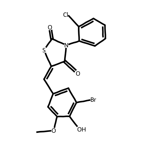 COc1cc(/C=C2/SC(=O)N(c3ccccc3Cl)C2=O)cc(Br)c1O